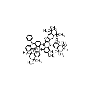 Cc1cc2c3c(c1)N(c1ccc4c(c1)C(C)(C)CCC4(C)C)c1c(sc4c1CC1C(=C4)C(C)(C)CCC1(C)C)B3c1ccc(N(c3ccccc3)c3ccccc3C(C)(C)C)cc1N2c1ccc2c(c1)C(C)(C)CCC2(C)C